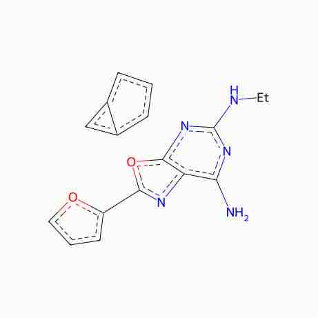 CCNc1nc(N)c2nc(-c3ccco3)oc2n1.c1cc2cc-2c1